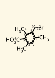 Cc1cc(C)c(C(=O)O)c(C)c1CBr